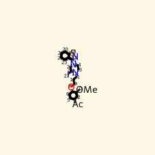 COc1cc(C(C)=O)ccc1OCCCN1CCN(c2nsc3ccccc23)CC1I